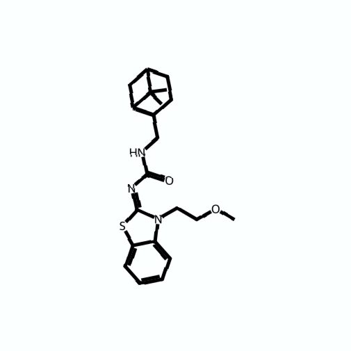 COCCn1c(=NC(=O)NCC2CCC3CC2C3(C)C)sc2ccccc21